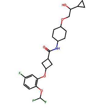 O=C(NC1CCC(OCC(O)C2CC2)CC1)C1CC(Oc2cc(F)ccc2OC(F)F)C1